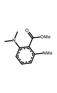 CNc1cccc(N(C)C)c1C(=O)OC